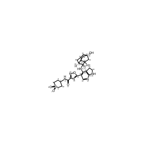 O=C(NC1CCS(=O)(=O)CC1)c1noc(-c2cnc3c(c2N[C@H]2[C@@H]4CC5C[C@H]2C[C@@](O)(C5)C4)CCN3)n1